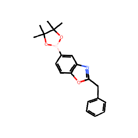 CC1(C)OB(c2ccc3oc(Cc4ccccc4)nc3c2)OC1(C)C